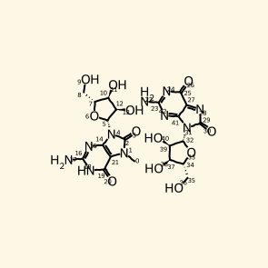 Cn1c(=O)n([C@@H]2O[C@H](CO)[C@@H](O)[C@H]2O)c2nc(N)[nH]c(=O)c21.NC1=NC(=O)C2=NC(=O)N([C@@H]3O[C@H](CO)[C@@H](O)[C@H]3O)C2=N1